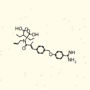 C=CCN(C(=O)/C(C)=C/c1ccc(COc2ccc(C(=N)N)cc2)cc1)[C@@](CC)(C(=O)O)C(CC)C(=O)O